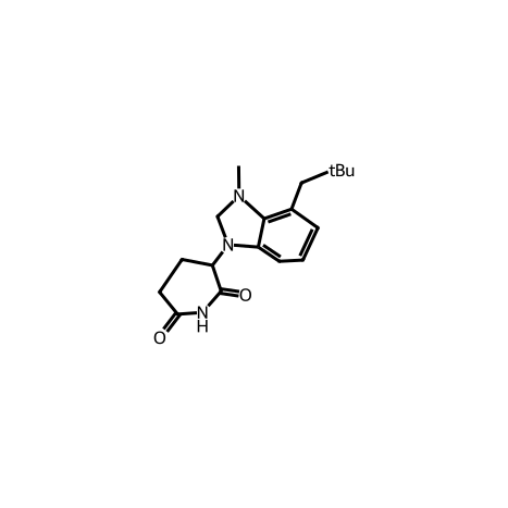 CN1CN(C2CCC(=O)NC2=O)c2cccc(CC(C)(C)C)c21